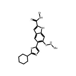 CCNC(=O)c1cc2cc(-c3cnc(C4CCCCC4)s3)c(SNC(C)(C)C)cc2[nH]1